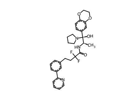 C[C@@H](NC(=O)C(F)(F)CCc1cccc(-c2ccccn2)c1)[C@@](O)(c1ccc2c(c1)OCCO2)N1CCCC1